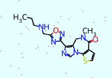 CCCNCc1nc(-c2ncn3c2CN(C)C(=O)c2ccsc2-3)no1